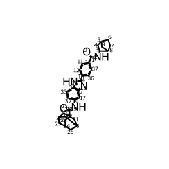 O=C(NC1CC2CCC1C2)c1ccc(-c2nc3cc(NC(=O)C45CC6CC(CC(C6)C4)C5)ccc3[nH]2)cc1